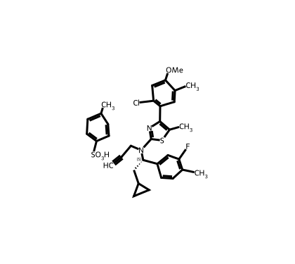 C#CCN(c1nc(-c2cc(C)c(OC)cc2Cl)c(C)s1)[C@@H](CC1CC1)c1ccc(C)c(F)c1.Cc1ccc(S(=O)(=O)O)cc1